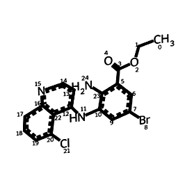 CCOC(=O)c1cc(Br)cc(Nc2ccnc3cccc(Cl)c23)c1N